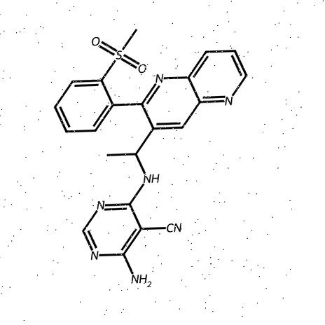 CC(Nc1ncnc(N)c1C#N)c1cc2ncccc2nc1-c1ccccc1S(C)(=O)=O